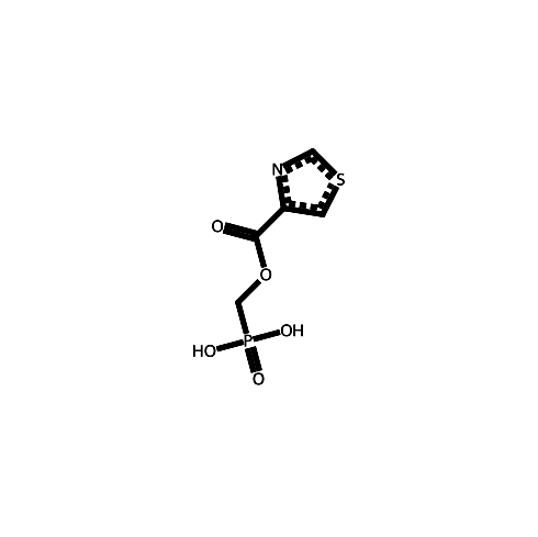 O=C(OCP(=O)(O)O)c1cscn1